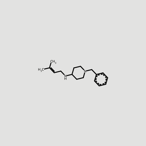 CC(C)=CCNC1CCN(Cc2ccccc2)CC1